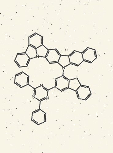 c1ccc(-c2nc(-c3ccccc3)nc(-c3cc(-n4c5cc6ccccc6cc5c5cc6c7cccc8c9ccccc9n(c6cc54)c87)c4sc5ccccc5c4c3)n2)cc1